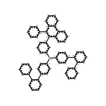 c1ccc(-c2ccccc2-c2ccc(N(c3ccc(-c4ccccc4-c4ccccc4)cc3)c3cccc(-c4c(-c5ccccc5)c5ccccc5c5ccccc45)c3)cc2)cc1